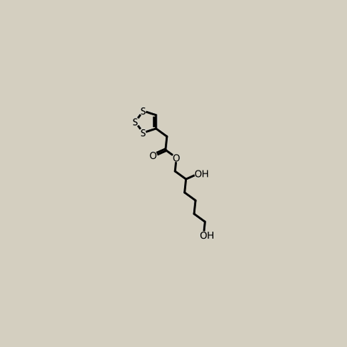 O=C(CC1=CSSS1)OCC(O)CCCCO